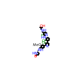 COc1cc(-c2nccc(-c3cccc(Nc4nccc(CNCC(C)(C)O)c4F)c3Cl)c2Cl)ccc1CNC[C@@H]1CCC(=O)N1